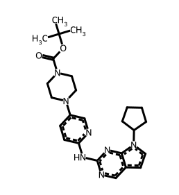 CC(C)(C)OC(=O)N1CCN(c2ccc(Nc3ncc4ccn(C5CCCC5)c4n3)nc2)CC1